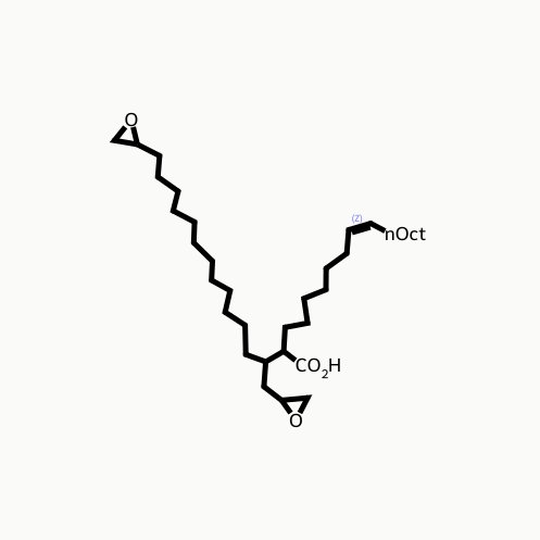 CCCCCCCC/C=C\CCCCCCC(C(=O)O)C(CCCCCCCCCCCCC1CO1)CC1CO1